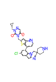 N#CC1(Cn2ccc3cc(Cl)cc(-c4ccnc5cc(Cn6c(=O)cnn(CC7CC7)c6=O)sc45)c32)CCNCC1